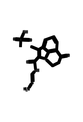 CS(=O)(=O)O.Cc1c(C(=O)NC=NN)n2c3c(cccc13)C(=O)CC2